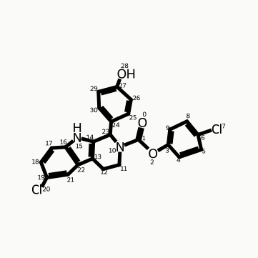 O=C(Oc1ccc(Cl)cc1)N1CCc2c([nH]c3ccc(Cl)cc23)C1c1ccc(O)cc1